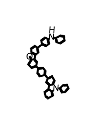 c1ccc(Nc2ccc(-c3ccc4oc5ccc(-c6ccc(-c7ccc8c(c7)c7ccccc7n8-c7ccccc7)cc6)cc5c4c3)cc2)cc1